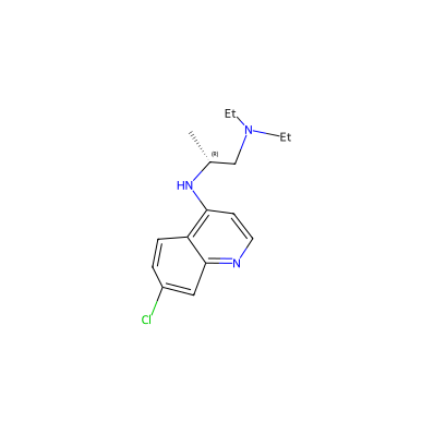 CCN(CC)C[C@@H](C)Nc1ccnc2cc(Cl)ccc12